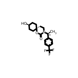 C[C@@H](c1ccc(C(F)(F)F)cc1)N1CC[C@]2(CC[C@H](O)CC2)OC1=O